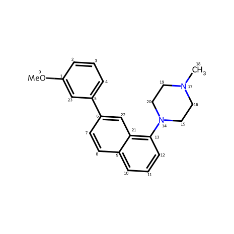 COc1cccc(-c2ccc3cccc(N4CCN(C)CC4)c3c2)c1